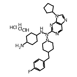 Cl.Cl.Cl.NC1CCC(NN(c2ncc3ncn(C4CCCC4)c3n2)N2CCC(Cc3ccc(F)cc3)CC2)CC1